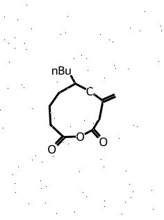 C=C1CC(=O)OC(=O)CCCC(CCCC)C1